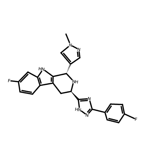 Cn1cc([C@@H]2N[C@@H](c3nc(-c4ccc(F)cc4)n[nH]3)Cc3c2[nH]c2cc(F)ccc32)cn1